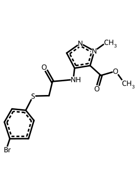 COC(=O)c1c(NC(=O)CSc2ccc(Br)cc2)cnn1C